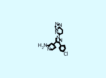 Nc1cc(-c2cn(C3=Nn4cnnc4CC3)nc2-c2ccc(Cl)cc2)ccn1